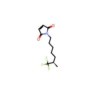 C[C@H](CCCCCN1C(=O)C=CC1=O)C(F)(F)F